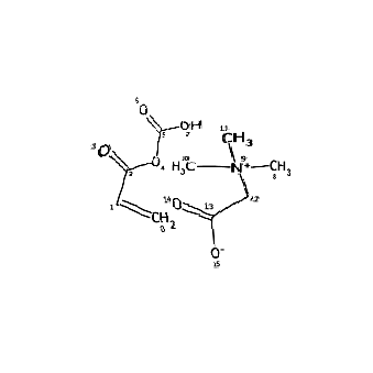 C=CC(=O)OC(=O)O.C[N+](C)(C)CC(=O)[O-]